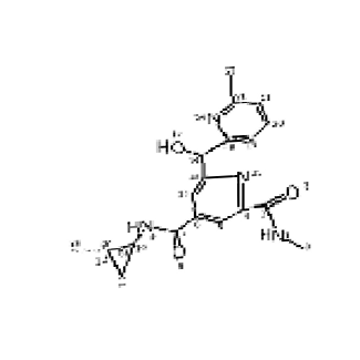 CNC(=O)c1cc(C(=O)N[C@H]2C[C@@H]2C)cc(C(O)c2cccc(C)n2)n1